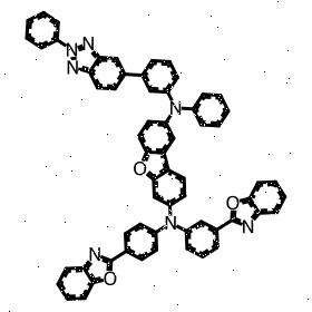 c1ccc(N(c2cccc(-c3ccc4nn(-c5ccccc5)nc4c3)c2)c2ccc3oc4cc(N(c5ccc(-c6nc7ccccc7o6)cc5)c5cccc(-c6nc7ccccc7o6)c5)ccc4c3c2)cc1